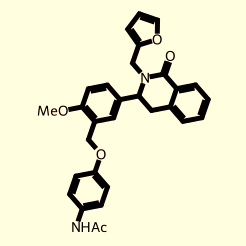 COc1ccc(C2Cc3ccccc3C(=O)N2Cc2ccco2)cc1COc1ccc(NC(C)=O)cc1